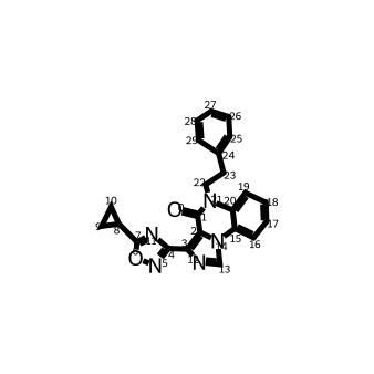 O=c1c2c(-c3noc(C4CC4)n3)ncn2c2ccccc2n1CCc1ccccc1